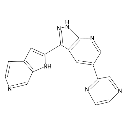 c1cnc(-c2cnc3[nH]nc(-c4cc5ccncc5[nH]4)c3c2)cn1